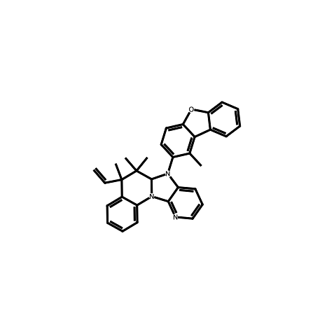 C=CC1(C)c2ccccc2N2c3ncccc3N(c3ccc4oc5ccccc5c4c3C)C2C1(C)C